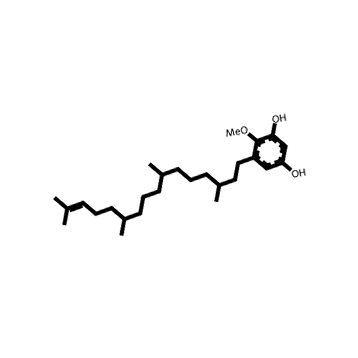 COc1c(O)cc(O)cc1CCC(C)CCCC(C)CCCC(C)CCC=C(C)C